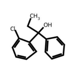 CCC(O)(c1ccccc1)c1ccccc1Cl